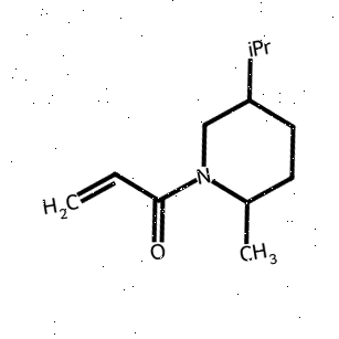 C=CC(=O)N1CC(C(C)C)CCC1C